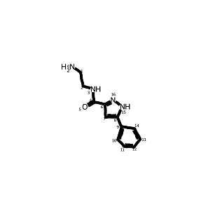 NCCNC(=O)c1cc(-c2ccccc2)[nH]n1